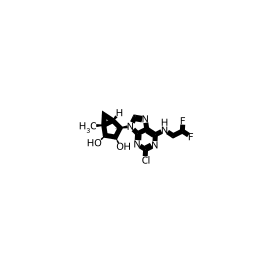 C[C@@]12C[C@@H]1[C@@H](n1cnc3c(NCC(F)F)nc(Cl)nc31)[C@H](O)[C@@H]2O